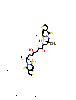 CC(C)(CCC(O)CCC(O)CCC(C)(C)CN1C(=S)C=C2SCCC2C1=S)CN1C(=S)C=C2SCCC2C1=S